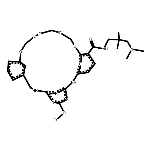 CCOc1nc2nc(n1)Nc1ccc(C(=O)NCC(C)(C)CN(C)C)c(c1)OCCCCCCOc1cccc(c1)CN2